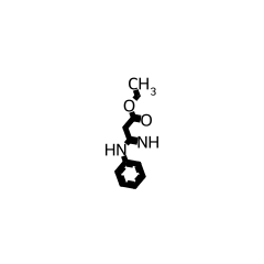 CCOC(=O)CC(=N)Nc1ccccc1